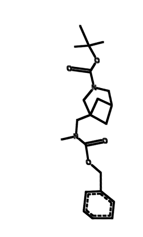 CN(CC12CC(CN(C(=O)OC(C)(C)C)C1)C2)C(=O)OCc1ccccc1